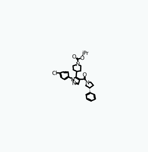 CC(C)OC(=O)N1CCC(c2c(C(=O)N3CC[C@H](c4ccccc4)C3)cnn2-c2ccc(Cl)cc2)CC1